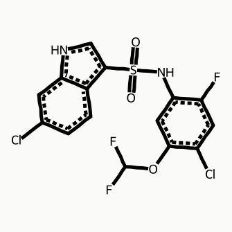 O=S(=O)(Nc1cc(OC(F)F)c(Cl)cc1F)c1c[nH]c2cc(Cl)ccc12